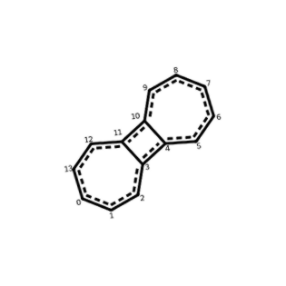 c1ccc2c3cccccc-3c-2cc1